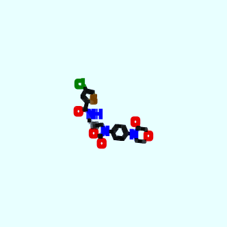 O=C(NC[C@@H]1CN(c2ccc(N3CCOCC3=O)cc2)C(=O)O1)c1cc(Cl)cs1